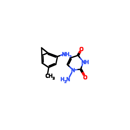 Cc1cc(N)c2c(c1)C2.Nn1ccc(=O)[nH]c1=O